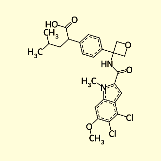 COc1cc2c(cc(C(=O)NC3(c4ccc(C(CC(C)C)C(=O)O)cc4)COC3)n2C)c(Cl)c1Cl